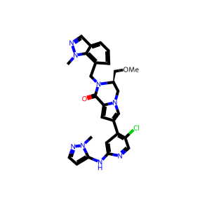 COC[C@H]1Cn2cc(-c3cc(Nc4ccnn4C)ncc3Cl)cc2C(=O)N1Cc1cccc2cnn(C)c12